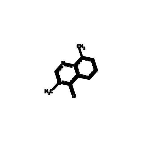 Cc1cccc2c(=O)n(C)cnc12